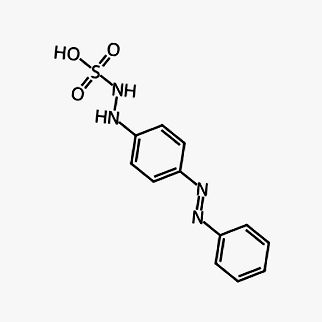 O=S(=O)(O)NNc1ccc(/N=N/c2ccccc2)cc1